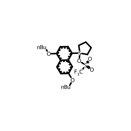 CCCCOc1ccc2c(OCCCC)ccc(S3(OS(=O)(=O)C(F)(F)F)CCCC3)c2c1